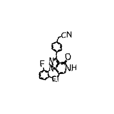 N#CCc1ccc(-c2nn(-c3c(F)cccc3F)c3c(Cl)c[nH]c(=O)c23)cc1